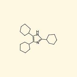 C1CCC(c2nc(C3CCCCC3)c(C3CCCCC3)[nH]2)CC1